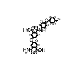 CNC(=O)c1cc(Oc2ccc(C(=O)Nc3ccc(Oc4ccc(C)cc4)cc3)c(C(=O)O)c2)ccc1C(=O)O